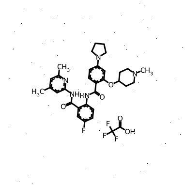 Cc1cc(C)nc(NC(=O)c2cc(F)ccc2NC(=O)c2ccc(N3CCCC3)cc2OC2CCN(C)CC2)c1.O=C(O)C(F)(F)F